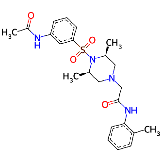 CC(=O)Nc1cccc(S(=O)(=O)N2[C@H](C)CN(CC(=O)Nc3ccccc3C)C[C@@H]2C)c1